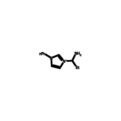 CCCn1cc[n+](C(N)CC)c1